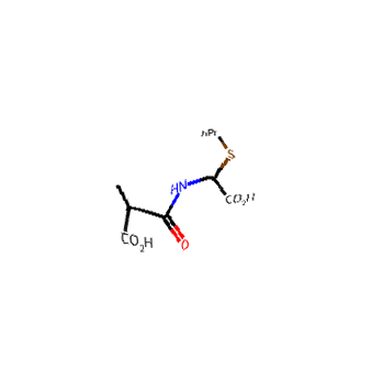 CCCSC(NC(=O)C(C)C(=O)O)C(=O)O